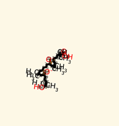 CC1(C)C=C(CCCC2=CC(C)(C)C=C(CCCC(C)(C)C(=O)O)[S+]2[O-])[S+]([O-])C(CCCC(C)(C)CO)=C1